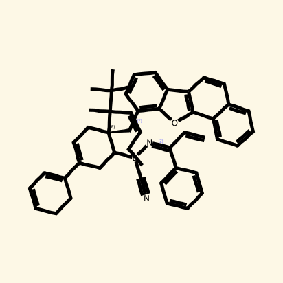 C=C/C(=N/B(C#N)C1CC(C2=CC=CCC2)=CC[C@]1(Cc1cccc2c1oc1c3ccccc3ccc21)C(C)(/C=C\CC)C(C)(C)C)c1ccccc1